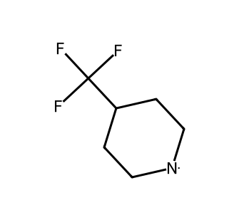 FC(F)(F)C1CC[N]CC1